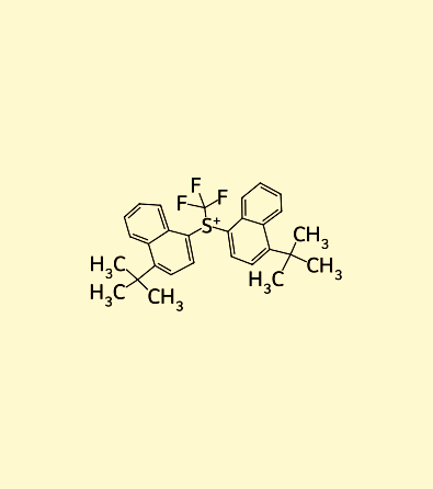 CC(C)(C)c1ccc([S+](c2ccc(C(C)(C)C)c3ccccc23)C(F)(F)F)c2ccccc12